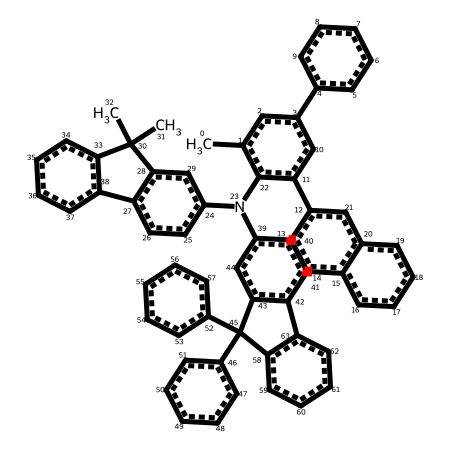 Cc1cc(-c2ccccc2)cc(-c2ccc3ccccc3c2)c1N(c1ccc2c(c1)C(C)(C)c1ccccc1-2)c1ccc2c(c1)C(c1ccccc1)(c1ccccc1)c1ccccc1-2